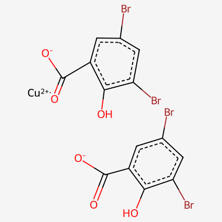 O=C([O-])c1cc(Br)cc(Br)c1O.O=C([O-])c1cc(Br)cc(Br)c1O.[Cu+2]